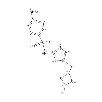 CC(=O)Nc1ccc(S(=O)(=O)Nc2nnc(CC3OC(C)O3)s2)cc1